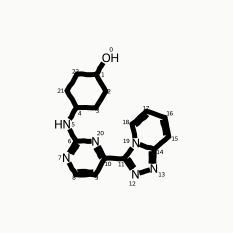 OC1CCC(Nc2nccc(-c3nnc4ccccn34)n2)CC1